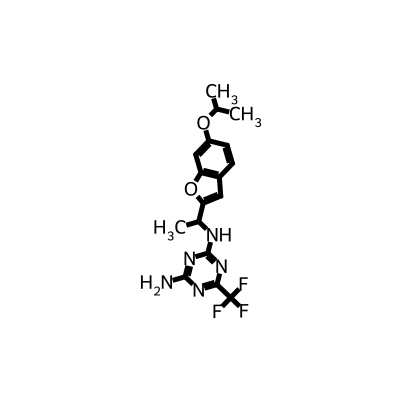 CC(C)Oc1ccc2cc(C(C)Nc3nc(N)nc(C(F)(F)F)n3)oc2c1